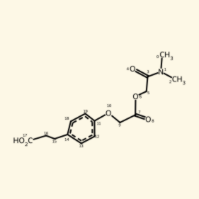 CN(C)C(=O)COC(=O)COc1ccc(CCC(=O)O)cc1